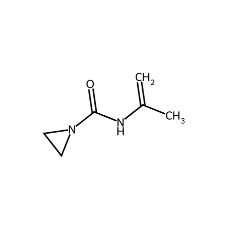 C=C(C)NC(=O)N1CC1